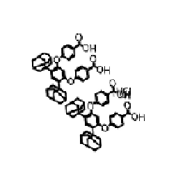 Cl.Cl.O=C(O)c1ccc(Oc2cc(Oc3ccc(C(=O)O)cc3)c(C34CC5CC(CC(C5)C3)C4)cc2C23CC4CC(CC(C4)C2)C3)cc1.O=C(O)c1ccc(Oc2cc(Oc3ccc(C(=O)O)cc3)c(C34CC5CC(CC(C5)C3)C4)cc2C23CC4CC(CC(C4)C2)C3)cc1